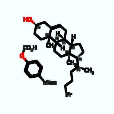 CC(C)CCC[C@@H](C)[C@H]1CC[C@H]2[C@@H]3CC=C4C[C@@H](O)CC[C@]4(C)[C@H]3CC[C@]12C.CCCCCCCCCc1ccc(OC(=O)O)cc1